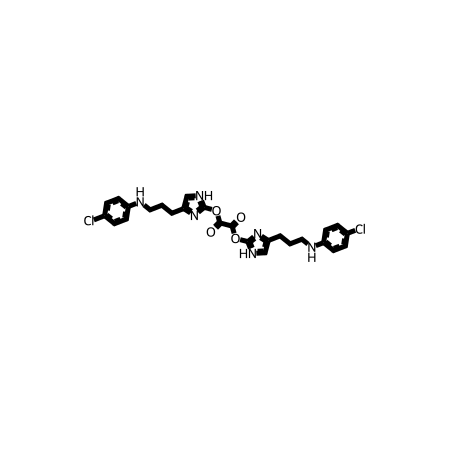 O=C(Oc1nc(CCCNc2ccc(Cl)cc2)c[nH]1)C(=O)Oc1nc(CCCNc2ccc(Cl)cc2)c[nH]1